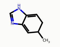 CC1C=c2nc[nH]c2=CC1